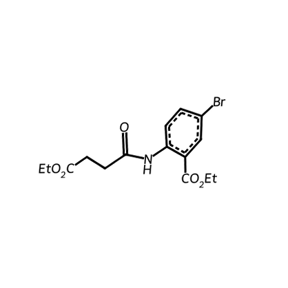 CCOC(=O)CCC(=O)Nc1ccc(Br)cc1C(=O)OCC